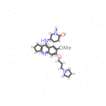 COc1cc2c(NC3CCC(=O)N(C)C3)c3c(nc2cc1OCCCN1CCCC1)CCC3